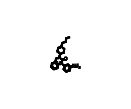 CCCCN1CCC(N(Cc2ccccc2)C(=O)Nc2cccc(N)c2)CC1